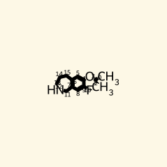 CC(C)Oc1cc2c(cc1F)CNCCC2